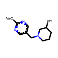 CCCC1CCCN(Cc2cnc(OC)nc2)C1